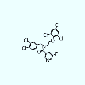 O=C(c1cncc(F)c1)N(CCOc1c(Cl)cc(Cl)cc1Cl)Cc1ccc(Cl)c(Cl)c1